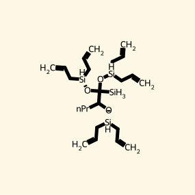 C=CC[SiH](CC=C)OC(CCC)C([SiH3])(O[SiH](CC=C)CC=C)O[SiH](CC=C)CC=C